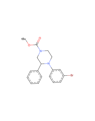 CC(C)(C)OC(=O)N1CCN(c2cccc(Br)c2)C(c2ccccc2)C1